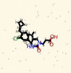 CC(C)C1=CN(CCC(=O)O)C(=O)N[C@@]1(C)c1ccc(C=C2CCC2)c(Cl)c1